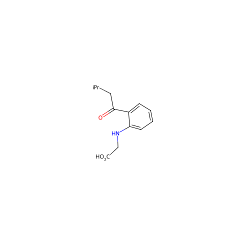 CC(C)CC(=O)c1ccccc1NCC(=O)O